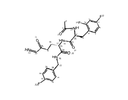 CC(=O)N[C@@H](Cc1ccc(F)cc1F)C(=O)N[C@@H](CCC(=O)C=N)C(=O)NCc1ccc(F)cc1